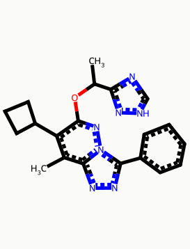 Cc1c(C2CCC2)c(OC(C)c2nc[nH]n2)nn2c(-c3ccccc3)nnc12